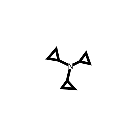 C1CC1N(C1CC1)C1CC1